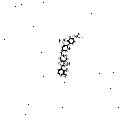 O=[N+]([O-])c1ccc(-c2ccc(CN3Cc4nc(-c5cccc(F)c5F)[nH]c4C=N3)cn2)c(C(F)(F)F)c1